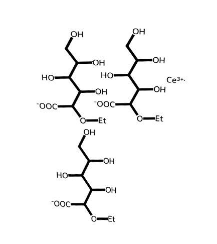 CCOC(C(=O)[O-])C(O)C(O)C(O)CO.CCOC(C(=O)[O-])C(O)C(O)C(O)CO.CCOC(C(=O)[O-])C(O)C(O)C(O)CO.[Ce+3]